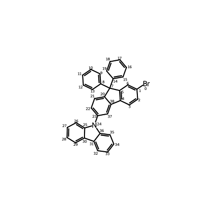 Brc1ccc2c(c1)C(c1ccccc1)(c1ccccc1)c1ccc(-n3c4ccccc4c4ccccc43)cc1-2